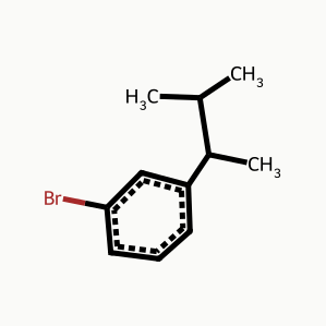 CC(C)C(C)c1cccc(Br)c1